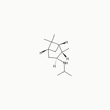 CC(C)N[C@H]1C[C@H]2C[C@@H]([C@@H]1C)C2(C)C